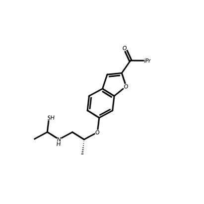 CC(S)NC[C@@H](C)Oc1ccc2cc(C(=O)C(C)C)oc2c1